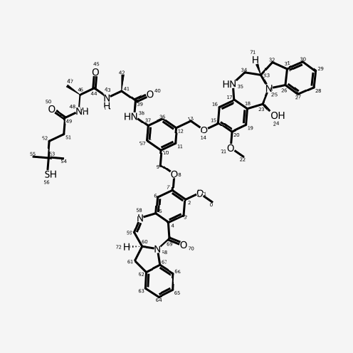 COc1cc2c(cc1OCc1cc(COc3cc4c(cc3OC)C(O)N3c5ccccc5C[C@H]3CN4)cc(NC(=O)[C@H](C)NC(=O)[C@H](C)NC(=O)CCC(C)(C)S)c1)N=C[C@@H]1Cc3ccccc3N1C2=O